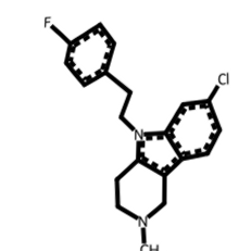 CN1CCc2c(c3ccc(Cl)cc3n2CCc2ccc(F)cc2)C1